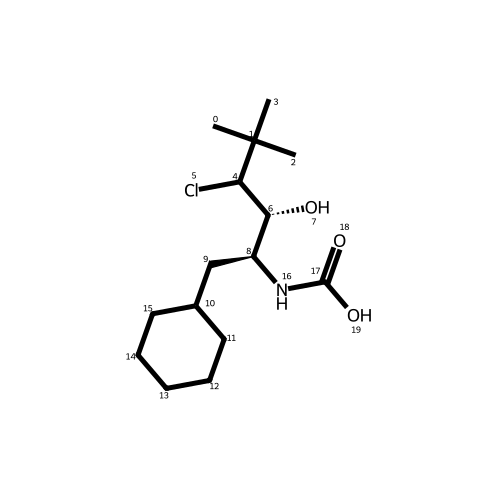 CC(C)(C)C(Cl)[C@H](O)[C@H](CC1CCCCC1)NC(=O)O